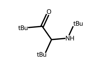 CC(C)(C)NC(C(=O)C(C)(C)C)C(C)(C)C